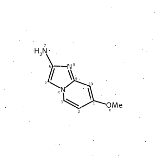 COc1ccn2cc(N)nc2c1